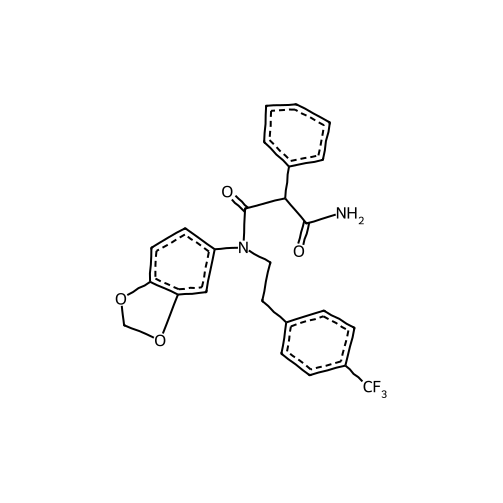 NC(=O)C(C(=O)N(CCc1ccc(C(F)(F)F)cc1)c1ccc2c(c1)OCO2)c1ccccc1